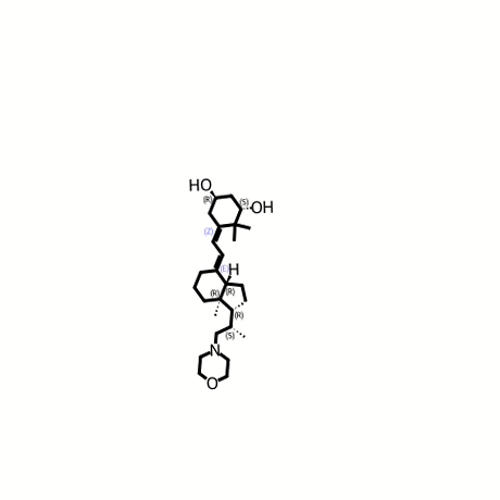 C[C@H](CN1CCOCC1)[C@H]1CC[C@H]2/C(=C/C=C3/C[C@@H](O)C[C@H](O)C3(C)C)CCC[C@]12C